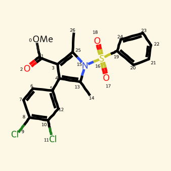 COC(=O)c1c(-c2ccc(Cl)c(Cl)c2)c(C)n(S(=O)(=O)c2ccccc2)c1C